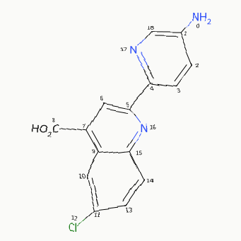 Nc1ccc(-c2cc(C(=O)O)c3cc(Cl)ccc3n2)nc1